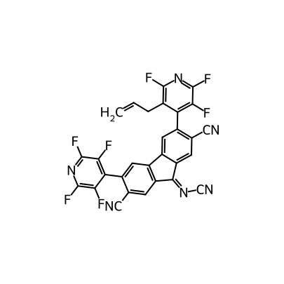 C=CCc1c(F)nc(F)c(F)c1-c1cc2c(cc1C#N)/C(=N\C#N)c1cc(C#N)c(-c3c(F)c(F)nc(F)c3F)cc1-2